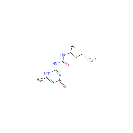 CCOC(=O)CCC(NC(=O)Nc1nc(=O)cc(C)[nH]1)C(C)=O